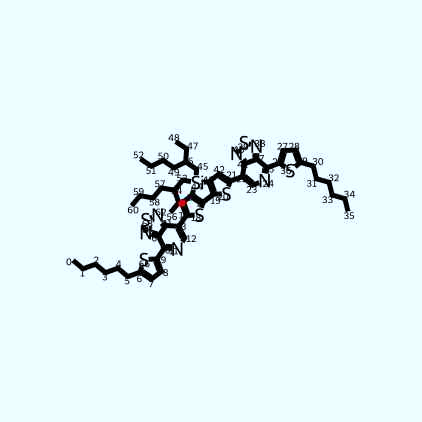 CCCCCCc1ccc(-c2ncc(-c3cc4c(s3)-c3sc(-c5cnc(-c6ccc(CCCCCC)s6)c6nsnc56)cc3[Si]4(CC(CC)CCCC)CC(CC)CCCC)c3nsnc23)s1